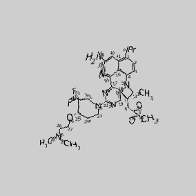 CC(C)c1ccc(N2C[C@H](CS(C)(=O)=O)[C@H]2C)c2c(-c3ccnc(N4CC[C@H](OCCN(C)C)C(F)(F)C4)n3)nc(N)cc12